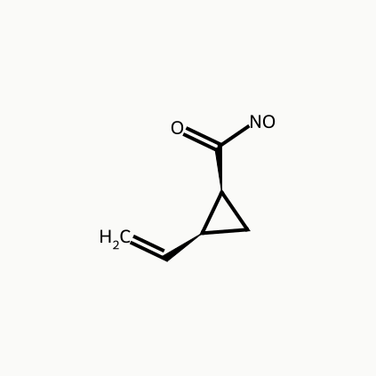 C=C[C@@H]1C[C@@H]1C(=O)N=O